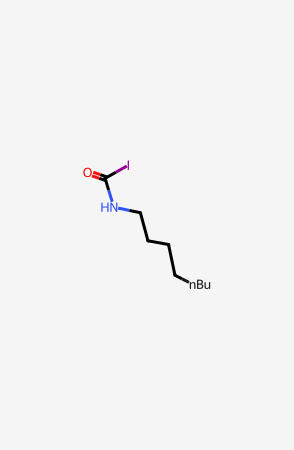 CCCCCCCCNC(=O)I